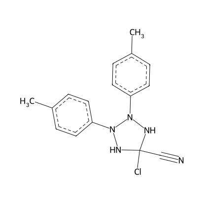 Cc1ccc(N2NC(Cl)(C#N)NN2c2ccc(C)cc2)cc1